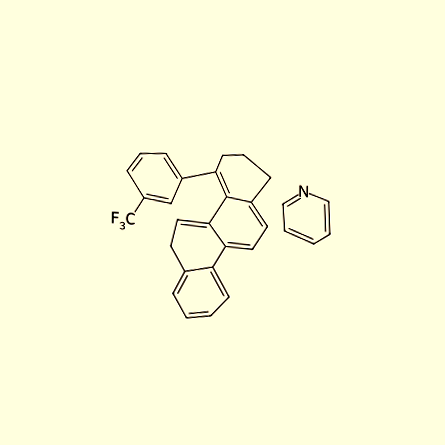 FC(F)(F)c1cccc(C2=c3c(ccc4c3=CCc3ccccc3-4)CCC2)c1.c1ccncc1